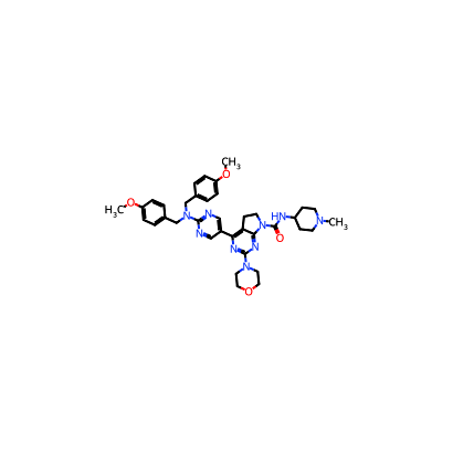 COc1ccc(CN(Cc2ccc(OC)cc2)c2ncc(-c3nc(N4CCOCC4)nc4c3CCN4C(=O)NC3CCN(C)CC3)cn2)cc1